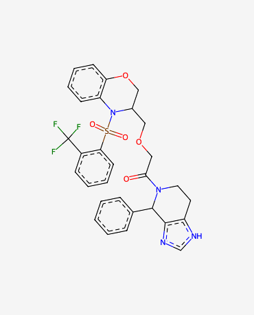 O=C(COCC1COc2ccccc2N1S(=O)(=O)c1ccccc1C(F)(F)F)N1CCc2[nH]cnc2C1c1ccccc1